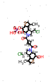 Cc1csc2c(OP(=O)(O)O)cc3c(c12)C(CCl)CN3C(=O)C12CC(C(=O)N3C[C@@H](CCl)c4c3cc(O)c3scc(C)c43)(C1)C2